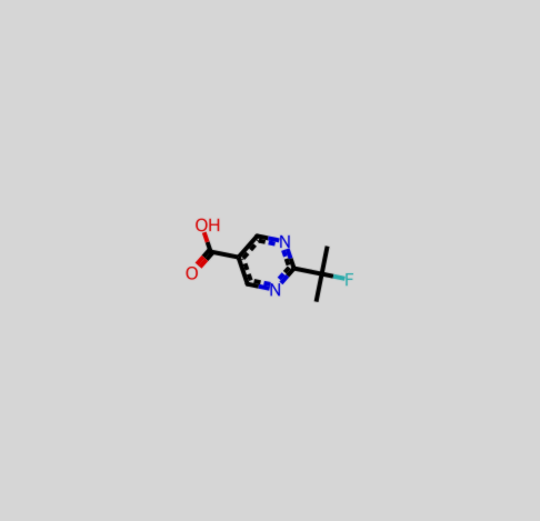 CC(C)(F)c1ncc(C(=O)O)cn1